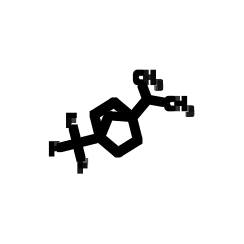 CC(C)C12CCC(C(F)(F)F)(CC1)C2